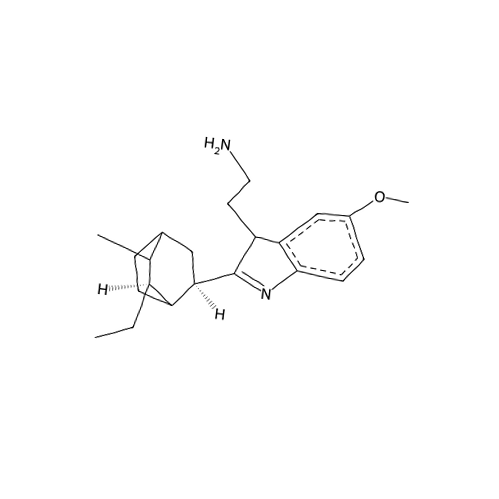 CC[C@H]1C(C)C2CCC1[C@H](C1=Nc3ccc(OC)cc3C1CCN)C2